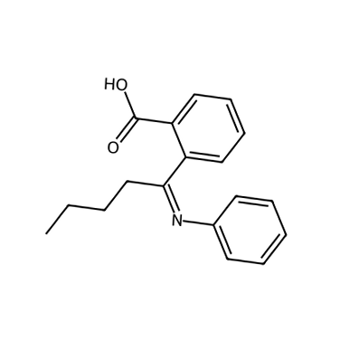 CCCCC(=Nc1ccccc1)c1ccccc1C(=O)O